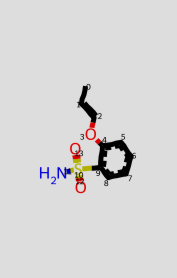 CC=COc1ccccc1S(N)(=O)=O